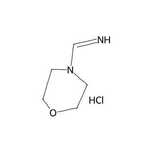 Cl.N=CN1CCOCC1